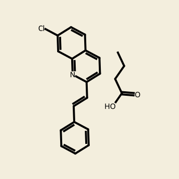 CCCC(=O)O.Clc1ccc2ccc(C=Cc3ccccc3)nc2c1